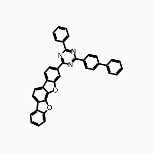 c1ccc(-c2ccc(-c3nc(-c4ccccc4)nc(-c4ccc5c(c4)oc4c5ccc5c6ccccc6oc54)n3)cc2)cc1